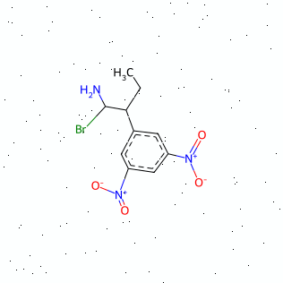 CCC(c1cc([N+](=O)[O-])cc([N+](=O)[O-])c1)C(N)Br